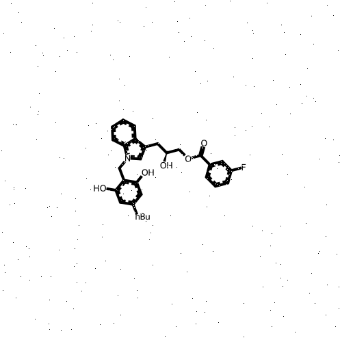 CCCCc1cc(O)c(Cn2cc(C[C@H](O)COC(=O)c3cccc(F)c3)c3ccccc32)c(O)c1